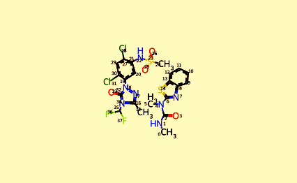 CNC(=O)N(C)c1nc2ccccc2s1.Cc1nn(-c2cc(NS(C)(=O)=O)c(Cl)cc2Cl)c(=O)n1C(F)F